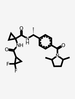 CC1CCC(C)N1C(=O)c1ccc([C@@H](C)NC(=O)C2(NC(=O)C3CC3(F)F)CC2)cc1